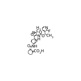 Cc1noc(-c2ccc(NC(=O)[C@H]3CCCC[C@@H]3C(=O)O)cn2)c1NC(=O)OC(C)c1cccnc1F